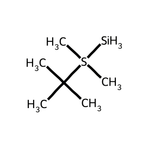 CC(C)(C)S(C)(C)[SiH3]